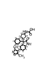 Cc1noc(C)c1-c1ccc2c(c1)C(c1ccccc1)(N1CC[C@@H](NC(=O)O)C1)C(=O)N2